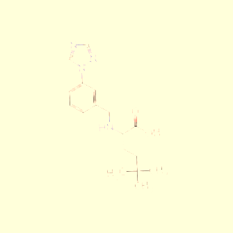 CC(C)(C)CC[C@H](NCc1cccc(-n2cncn2)c1)C(=O)O